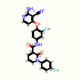 N#Cc1c(Oc2ccc(NC(=O)c3cccn(-c4ccc(F)cc4)c3=O)cc2F)ccnc1N